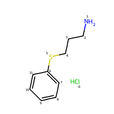 Cl.NCCCSc1ccccc1